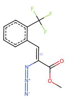 COC(=O)/C(=C/c1ccccc1C(F)(F)F)N=[N+]=[N-]